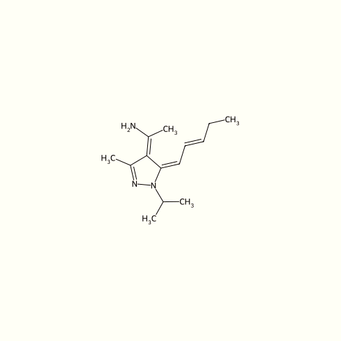 CC/C=C/C=c1\c(=C(/C)N)c(C)nn1C(C)C